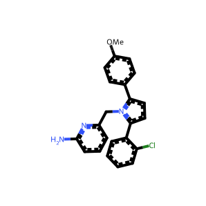 COc1ccc(-c2ccc(-c3ccccc3Cl)n2Cc2cccc(N)n2)cc1